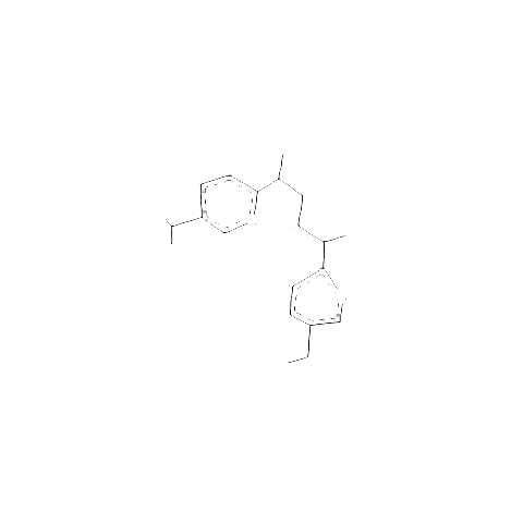 CCc1ccc(C(C)CCC(C)c2ccc(C(C)C)cn2)nc1